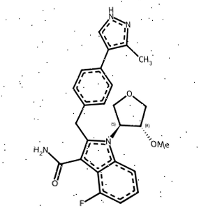 CO[C@H]1COC[C@@H]1n1c(Cc2ccc(-c3c[nH]nc3C)cc2)c(C(N)=O)c2c(F)cccc21